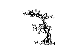 COc1cc2c(cc1OCCCOc1c(F)c3c(c(C)c1OC)CN(C(=O)C[C@H](C)C(=O)O)C3)CN(C(=O)C[C@H](C)C(=O)O)C2